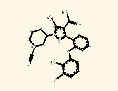 Cc1c(F)cccc1Oc1ccccc1-c1nn(C2CCCN(C#N)C2)c(N)c1C(N)=O